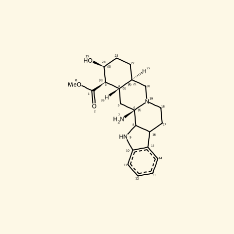 COC(=O)[C@@H]1[C@H]2C[C@@]3(N)C4Nc5ccccc5C4CCN3C[C@@H]2CC[C@@H]1O